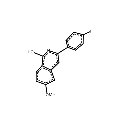 COc1ccc2c(O)nc(-c3ccc(F)cc3)cc2c1